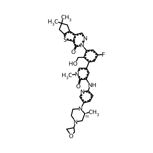 C[C@H]1CN(C2COC2)CCN1c1ccc(Nc2cc(-c3cc(F)cc(-n4ncc5c6c(sc5c4=O)CC(C)(C)C6)c3CO)cn(C)c2=O)nc1